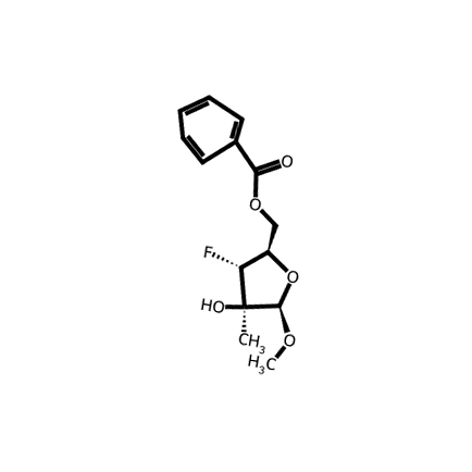 CO[C@@H]1O[C@H](COC(=O)c2ccccc2)[C@@H](F)[C@]1(C)O